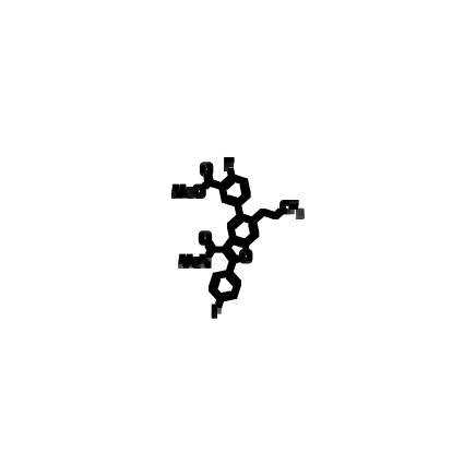 CNC(=O)c1c(-c2ccc(F)cc2)oc2cc(CCC(F)(F)F)c(-c3ccc(F)c(C(=O)OC)c3)cc12